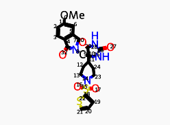 COc1ccc2c(c1)CN(CC1(C3CCN(S(=O)(=O)c4cccs4)CC3)NC(=O)NC1=O)C2=O